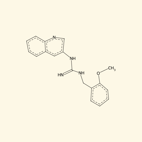 COc1ccccc1CNC(=N)Nc1cnc2ccccc2c1